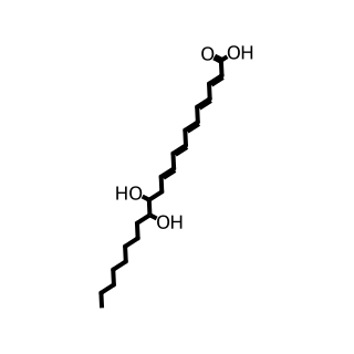 CCCCCCCCC(O)C(O)CC=CC=CC=CC=CC=CC(=O)O